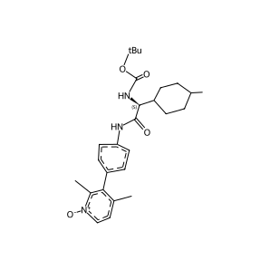 Cc1cc[n+]([O-])c(C)c1-c1ccc(NC(=O)[C@@H](NC(=O)OC(C)(C)C)C2CCC(C)CC2)cc1